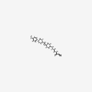 CCc1ccc([C@H]2CC[C@H](CO[C@H]3CC[C@H](CCC=CC=C(F)C#N)CC3)CC2)cc1